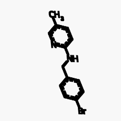 Cc1ccc(NCc2ccc(Br)cc2)nc1